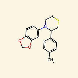 Cc1ccc(C2CS[CH]CN2c2ccc3c(c2)OCO3)cc1